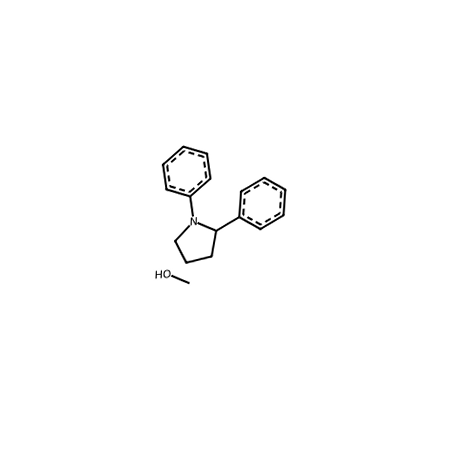 CO.c1ccc(C2CCCN2c2ccccc2)cc1